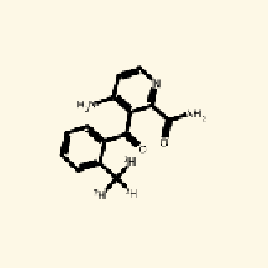 [2H]C([2H])([2H])c1ccccc1C(=O)c1c(N)ccnc1C(N)=O